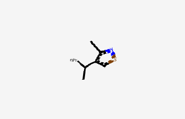 CCCC(C)c1csnc1C